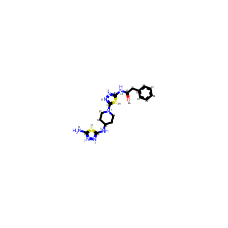 Nc1nnc(NC2CCN(c3nnc(NC(=O)Cc4ccccc4)s3)CC2)s1